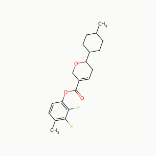 Cc1ccc(OC(=O)C2=CCC(C3CCC(C)CC3)OC2)c(F)c1F